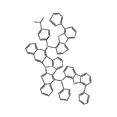 CC(C)c1ccc(N(c2cccc3c2oc2c(-c4ccccc4)cccc23)c2c3ccccc3cc3c2c2cccc4c5c(N(c6ccccc6)c6cccc7c6oc6c(-c8ccccc8)cccc67)c6ccccc6cc5n3c42)cc1